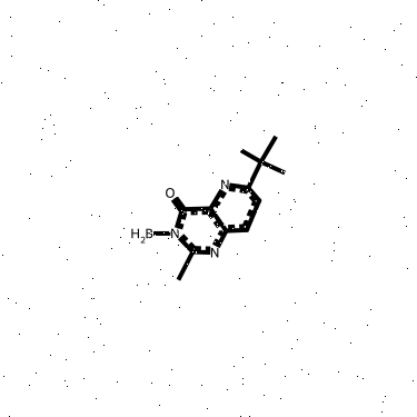 Bn1c(C)nc2ccc(C(C)(C)C)nc2c1=O